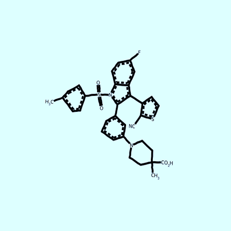 Cc1ccc(S(=O)(=O)n2c(-c3cccc(N4CCC(C)(C(=O)O)CC4)c3)c(-c3ccsc3C#N)c3cc(F)ccc32)cc1